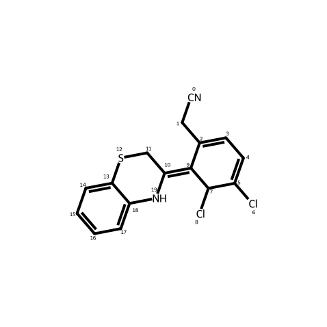 N#CCC1=CC=C(Cl)C(Cl)C1=C1CSc2ccccc2N1